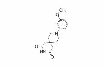 COc1cccc(N2CCC3(CC2)CC(=O)NC(=O)C3)c1